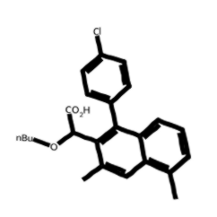 CCCCOC(C(=O)O)c1c(C)cc2c(C)cccc2c1-c1ccc(Cl)cc1